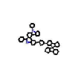 c1ccc(-c2nc3ccc(-c4ccc(-c5ccc6c(c5)C5(c7ccccc7-c7ccccc75)c5ccccc5-6)cc4)cc3c3c2ccc2c3c3ccccc3n2-c2ccccc2)cc1